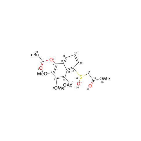 CCCCC(=O)Oc1c(OC)c(OC)c(OC(C)=O)c2c([S+]([O-])CC(=O)OC)cccc12